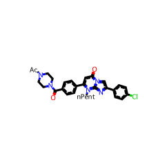 CCCCCn1c(-c2ccc(C(=O)N3CCN(C(C)=O)CC3)cc2)cc(=O)n2cc(-c3ccc(Cl)cc3)nc12